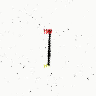 O=P(O)(O)OCCCCCCCCCCCCCCCCCCCCCCCCCCCCCCCCCCS